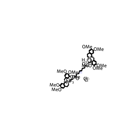 COc1cc2c(cc1OC)[C@@H](Cc1cc(OC)c(OC)c(OC)c1)[N+](C)(CCCOC(=O)CC/C=C/CCC(=O)OCCC[N+]1(C)CCc3cc(OC)c(OC)cc3[C@H]1Cc1cc(OC)c(OC)c(OC)c1)CC2.[Cl-].[Cl-]